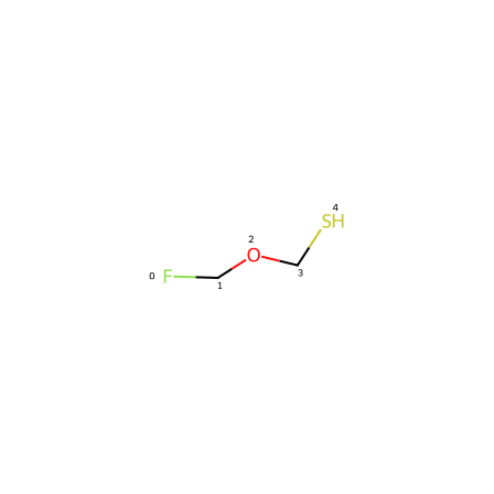 FCOCS